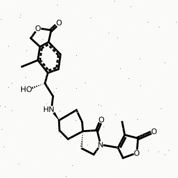 CC1=C(N2CC[C@]3(CC[C@H](NC[C@H](O)c4ccc5c(c4C)COC5=O)CC3)C2=O)COC1=O